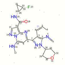 C=Nc1c(/C=C\C)c(-c2cc(NC)n3ncc(C(=O)N[C@@H]4C[C@@H]4F)c3n2)nn1C1CCOCC1